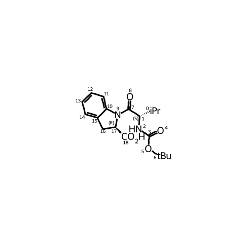 CC(C)[C@H](NC(=O)OC(C)(C)C)C(=O)N1c2ccccc2C[C@@H]1C(=O)O